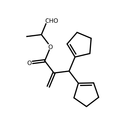 C=C(C(=O)OC(C)C=O)C(C1=CCCC1)C1=CCCC1